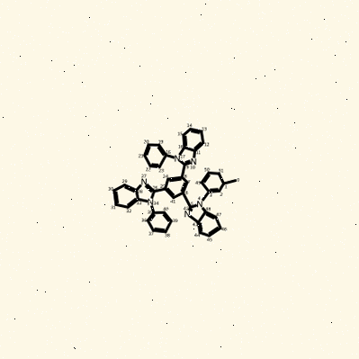 CC1C=C(n2c(-c3cc(-c4nc5ccccc5n4-c4ccccc4)cc(-c4nc5ccccc5n4-c4ccccc4)c3)nc3ccccc32)C=CC1